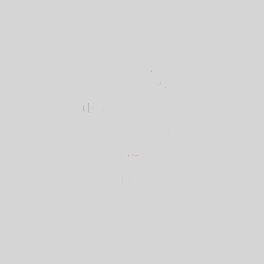 CCC(O)(C(C)(C)C)C(C)(C)C.P